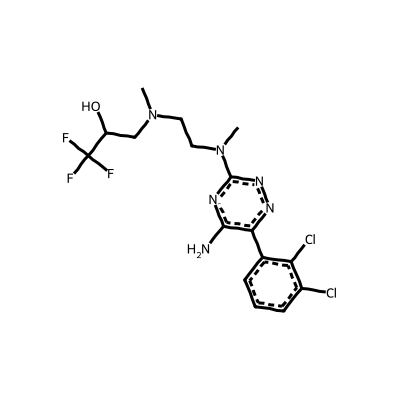 CN(CCN(C)c1nnc(-c2cccc(Cl)c2Cl)c(N)n1)CC(O)C(F)(F)F